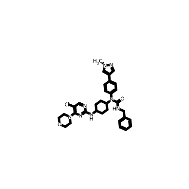 Cn1cc(-c2ccc(N(C(=O)NCc3ccccc3)C3CCC(Nc4ncc(Cl)c(N5CCOCC5)n4)CC3)cc2)cn1